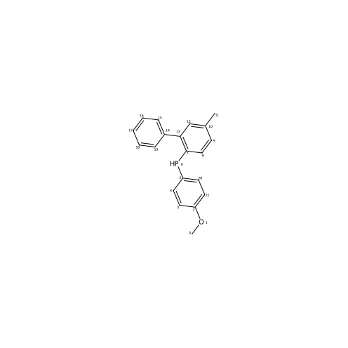 COc1ccc(Pc2ccc(C)cc2-c2ccccc2)cc1